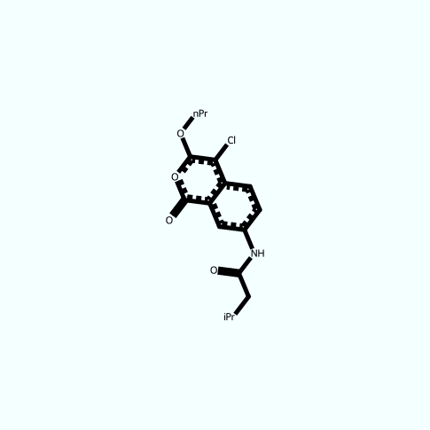 CCCOc1oc(=O)c2cc(NC(=O)CC(C)C)ccc2c1Cl